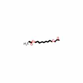 C=CC(=O)OCCCCCCCCCOCC1CO1